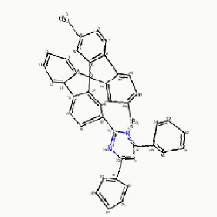 CC(C)(C)c1ccc2c(c1)C1(c3ccccc3-c3ccc(-c4nc(-c5ccccc5)cc(-c5ccccc5)n4)cc31)c1cc(C(C)(C)C)ccc1-2